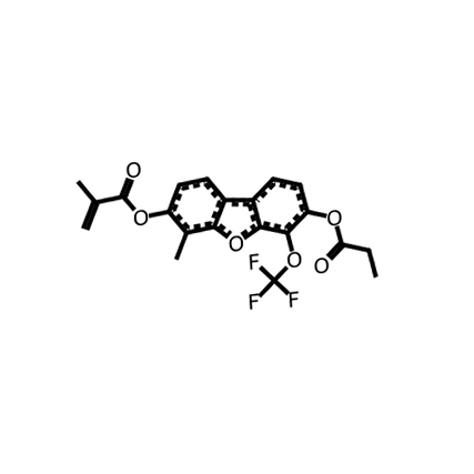 C=C(C)C(=O)Oc1ccc2c(oc3c(OC(F)(F)F)c(OC(=O)CC)ccc32)c1C